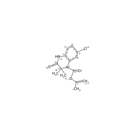 C=C(C)OC(=O)N1c2cc(Cl)ccc2NC(=S)C1(C)C